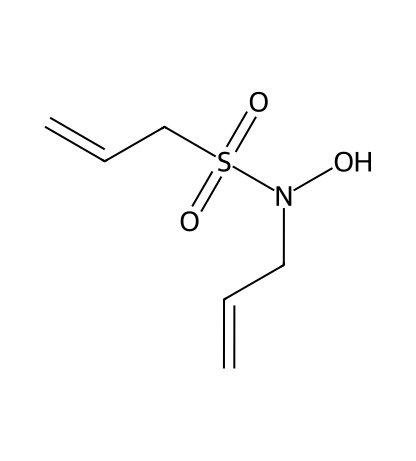 C=CCN(O)S(=O)(=O)CC=C